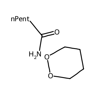 C1CCOOC1.CCCCCC(N)=O